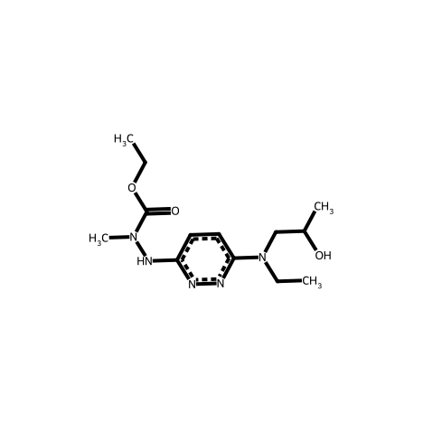 CCOC(=O)N(C)Nc1ccc(N(CC)CC(C)O)nn1